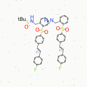 CC(C)(C)[S+]([O-])NCc1ccccc1S(=O)(=O)c1ccc(/C=C/c2ccc(F)cc2)cc1.NCc1ccccc1S(=O)(=O)c1ccc(/C=C/c2ccc(F)cc2)cc1